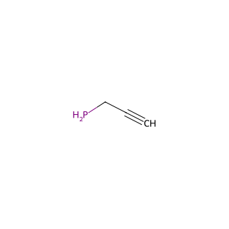 C#CCP